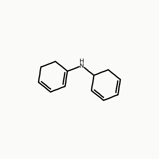 C1=CCCC(NC2C=CC=CC2)=C1